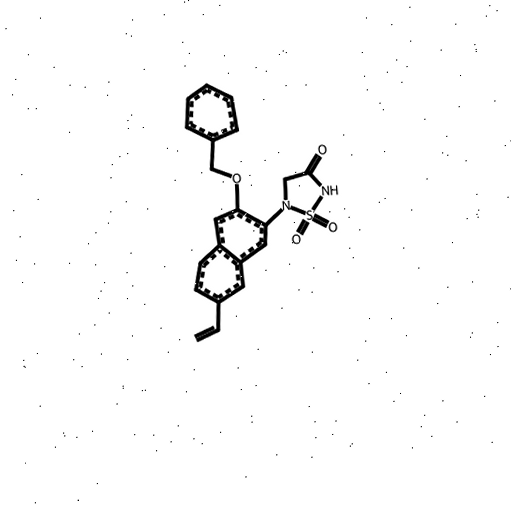 C=Cc1ccc2cc(OCc3ccccc3)c(N3CC(=O)NS3(=O)=O)cc2c1